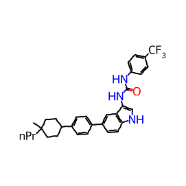 CCCC1(C)CCC(c2ccc(-c3ccc4[nH]cc(NC(=O)Nc5ccc(C(F)(F)F)cc5)c4c3)cc2)CC1